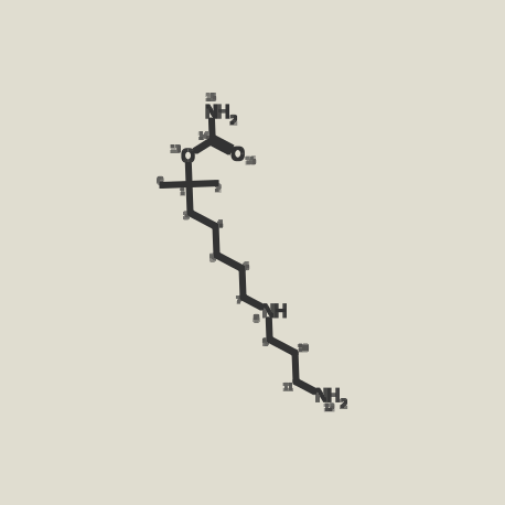 CC(C)(CCCCCNCCCN)OC(N)=O